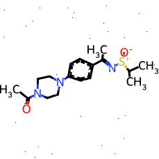 CC(=O)N1CCN(c2ccc(/C(C)=N/[S@@+]([O-])C(C)C)cc2)CC1